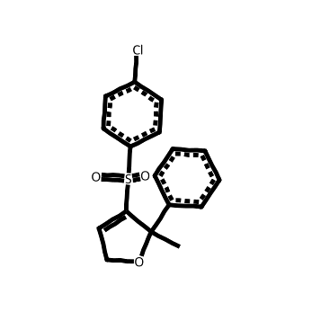 CC1(c2ccccc2)OCC=C1S(=O)(=O)c1ccc(Cl)cc1